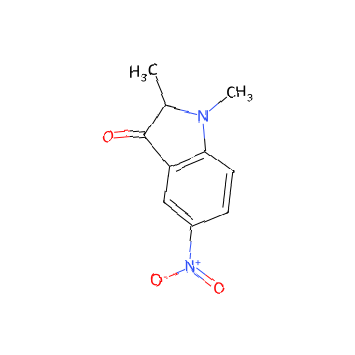 CC1C(=O)c2cc([N+](=O)[O-])ccc2N1C